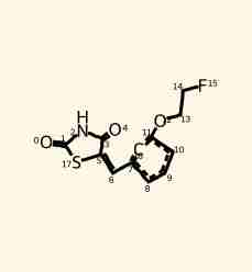 O=C1NC(=O)/C(=C\c2cccc(OCCF)c2)S1